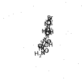 NC(=O)c1cc(CN(CC[C@@H]2C[C@@H]3CN(c4ccc(Br)cn4)C[C@@H]3C2)C(=O)O)on1